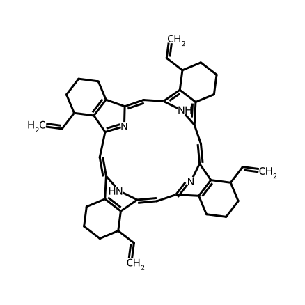 C=CC1CCCC2=C1c1cc3[nH]c(cc4nc(cc5[nH]c(cc2n1)c1c5CCCC1C=C)C1=C4CCCC1C=C)c1c3CCCC1C=C